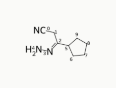 N#CCC(=NN)C1CCCC1